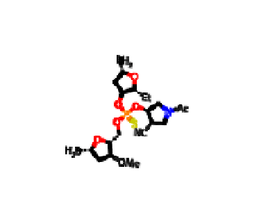 B[C@H]1CC(OC)[C@@H](COP(=S)(OC2C[C@H](B)O[C@@H]2CC)O[C@H]2CN(C(C)=O)C[C@H]2C#N)O1